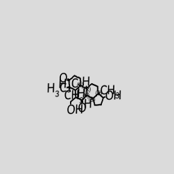 CC1(C)C(=O)CC[C@@]2(C)C1C(CO)C(=O)[C@@H]1[C@H]2CC[C@]2(C)C(O)CC[C@@H]12